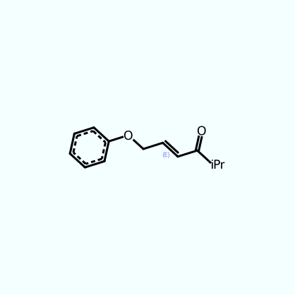 CC(C)C(=O)/C=C/COc1ccccc1